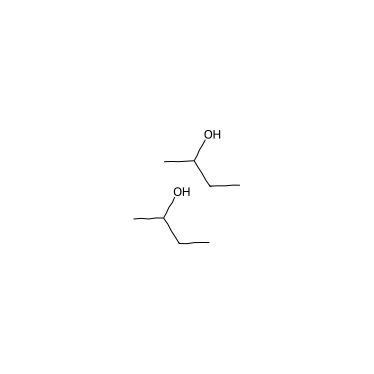 CCC(C)O.CCC(C)O